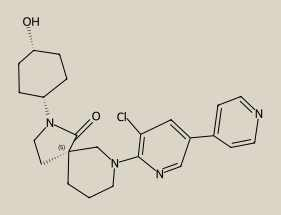 O=C1N([C@H]2CC[C@@H](O)CC2)CC[C@]12CCCN(c1ncc(-c3ccncc3)cc1Cl)C2